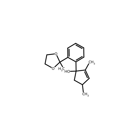 CC1=CC(C)CC1(O)c1ccccc1C1(C)OCCO1